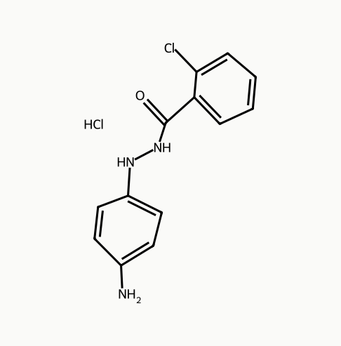 Cl.Nc1ccc(NNC(=O)c2ccccc2Cl)cc1